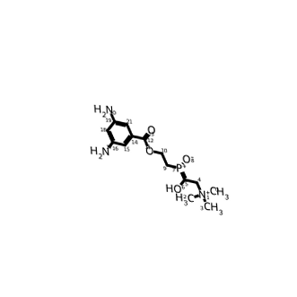 C[N+](C)(C)C/C(O)=[P+](\[O-])CCOC(=O)c1cc(N)cc(N)c1